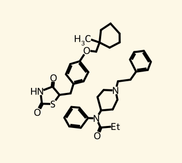 CC1(COc2ccc(CC3SC(=O)NC3=O)cc2)CCCCC1.CCC(=O)N(c1ccccc1)C1CCN(CCc2ccccc2)CC1